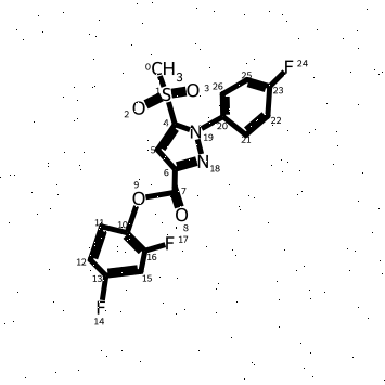 CS(=O)(=O)c1cc(C(=O)Oc2ccc(F)cc2F)nn1-c1ccc(F)cc1